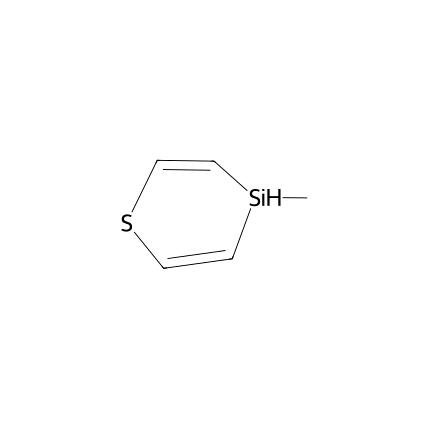 C[SiH]1C=CSC=C1